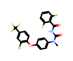 CN(C(=O)NC(=O)c1c(F)cccc1F)c1ccc(Oc2ccc(C(F)(F)F)cc2Cl)cc1